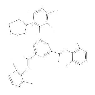 CC(=Nc1c(C)cccc1C)c1cccc(C(C)=Nc2c(C)cccc2C)n1.O=C([O-])c1c(C2CCCCC2)ccc(O)c1O.[Co+]